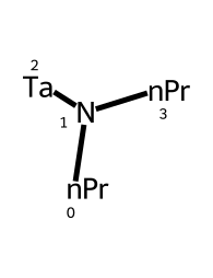 CCC[N]([Ta])CCC